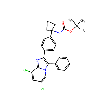 CC(C)(C)OC(=O)NC1(c2ccc(-c3nc4c(Cl)cc(Cl)cn4c3-c3ccccc3)cc2)CCC1